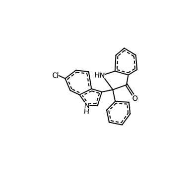 O=C1c2ccccc2NC1(c1ccccc1)c1c[nH]c2cc(Cl)ccc12